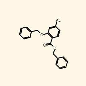 CC(=O)c1ccc(C(=O)OCc2ccccc2)c(OCc2ccccc2)c1